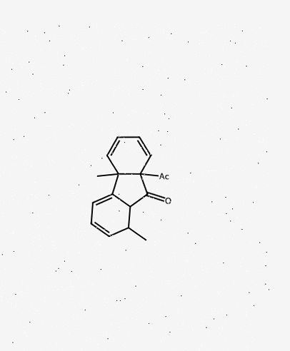 CC(=O)C12C=CC=CC1(C)C1=CC=CC(C)C1C2=O